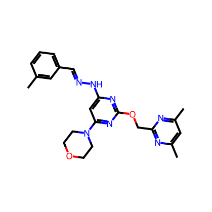 Cc1cccc(C=NNc2cc(N3CCOCC3)nc(OCc3nc(C)cc(C)n3)n2)c1